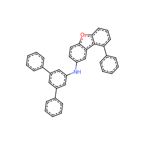 c1ccc(-c2cc(Nc3ccc4oc5cccc(-c6ccccc6)c5c4c3)cc(-c3ccccc3)c2)cc1